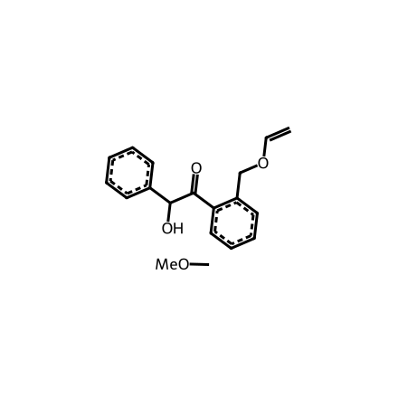 C=COCc1ccccc1C(=O)C(O)c1ccccc1.COC